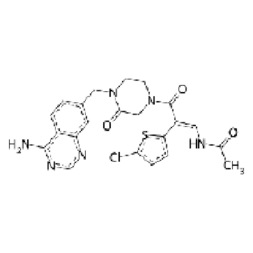 CC(=O)NC=C(C(=O)N1CCN(Cc2ccc3c(N)ncnc3c2)C(=O)C1)c1ccc(Cl)s1